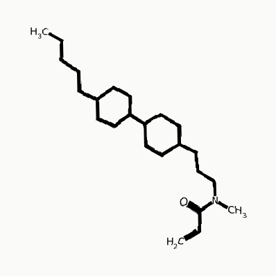 C=CC(=O)N(C)CCCC1CCC(C2CCC(CCCCC)CC2)CC1